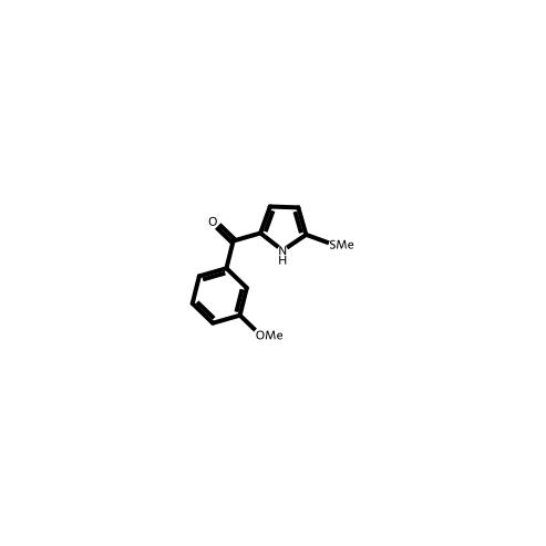 COc1cccc(C(=O)c2ccc(SC)[nH]2)c1